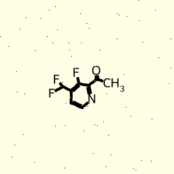 CC(=O)c1nccc(C(F)F)c1F